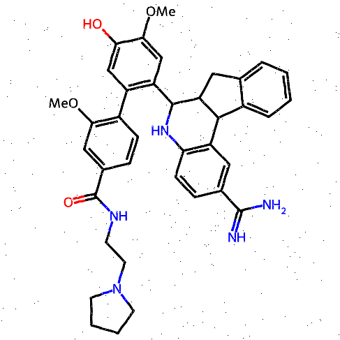 COc1cc(C2Nc3ccc(C(=N)N)cc3C3c4ccccc4CC23)c(-c2ccc(C(=O)NCCN3CCCC3)cc2OC)cc1O